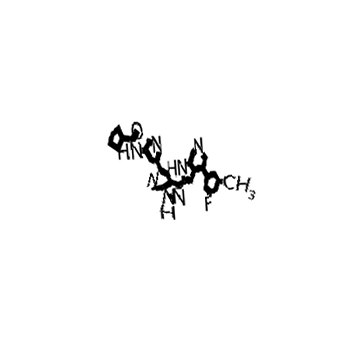 Cc1cc(F)cc(-c2cncc3[nH]c(-c4n[nH]c5cnc(-c6cncc(NC(=O)C7CCCC7)c6)cc45)cc23)c1